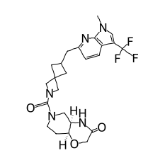 Cn1cc(C(F)(F)F)c2ccc(CC3CC4(C3)CN(C(=O)N3CC[C@@H]5OCC(=O)N[C@@H]5C3)C4)nc21